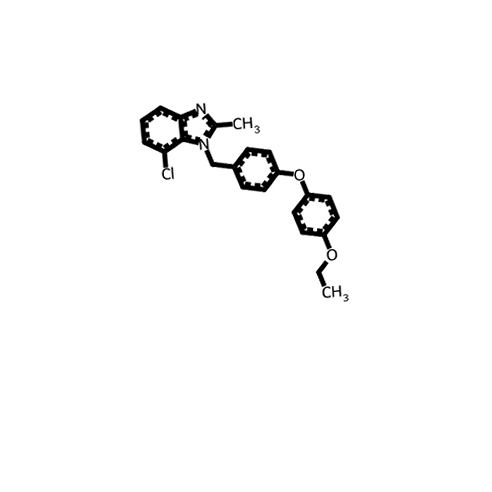 CCOc1ccc(Oc2ccc(Cn3c(C)nc4cccc(Cl)c43)cc2)cc1